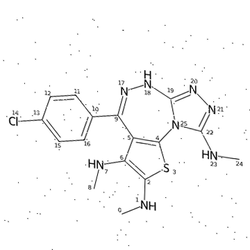 CNc1sc2c(c1NC)C(c1ccc(Cl)cc1)=NNc1nnc(NC)n1-2